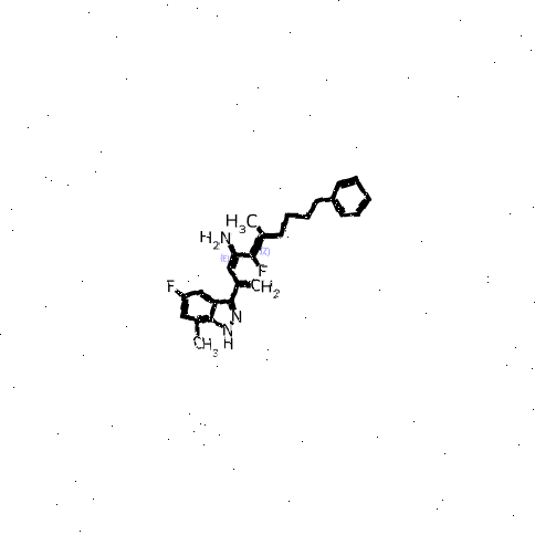 C=C(/C=C(N)\C(F)=C(/C)CCCCc1ccccc1)c1n[nH]c2c(C)cc(F)cc12